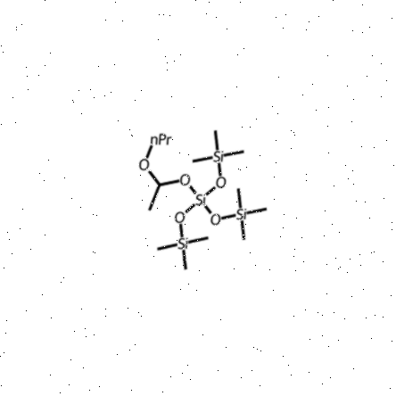 CCCOC(C)O[Si](O[Si](C)(C)C)(O[Si](C)(C)C)O[Si](C)(C)C